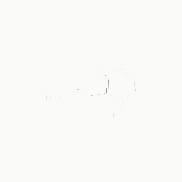 O=Cc1cccc(O)c1CCC(=O)O